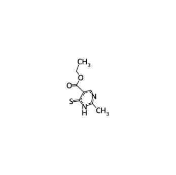 CCOC(=O)c1cnc(C)[nH]c1=S